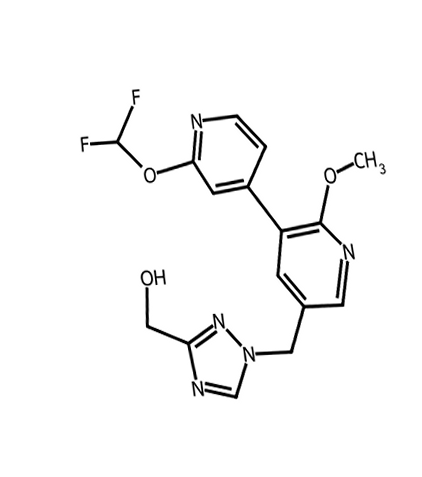 COc1ncc(Cn2cnc(CO)n2)cc1-c1ccnc(OC(F)F)c1